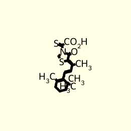 CC(C=CC1=C(C)CCCC1(C)C)=C1SCN(C(=S)C(=O)O)C1=O